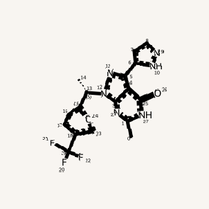 Cc1nc2c(c(-c3ccn[nH]3)nn2[C@@H](C)c2ccc(C(F)(F)F)cc2)c(=O)[nH]1